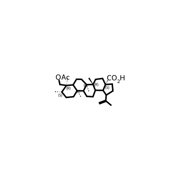 C=C(C)C1CC[C@]2(C(=O)O)CC[C@]3(C)C(CCC4[C@@]5(C)CC[C@H](C)[C@@](C)(COC(C)=O)C5CC[C@]43C)C12